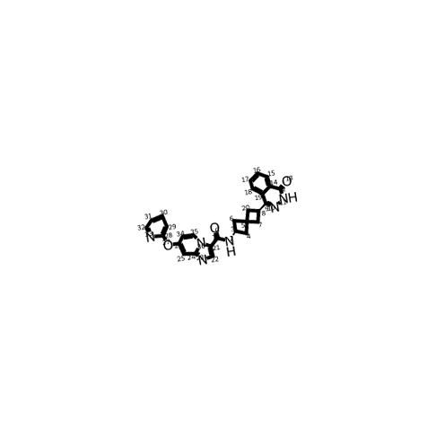 O=C(N[C@H]1CC2(C1)C[C@H](c1n[nH]c(=O)c3ccccc31)C2)c1cnc2cc(Oc3ccccn3)ccn12